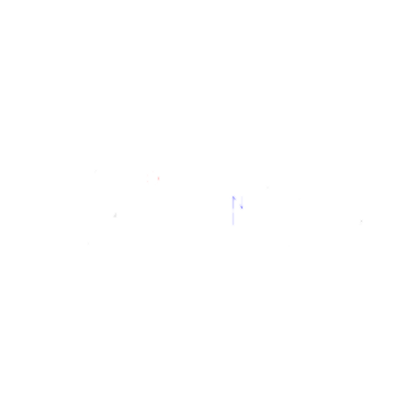 c1ccc2c(c1)CCC(CNCC1CCCC1)O2